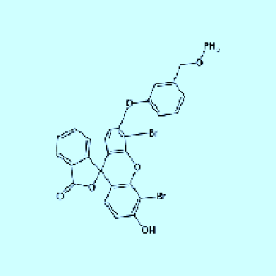 O=C1OC2(c3ccccc31)c1ccc(O)c(Br)c1Oc1c2ccc(Oc2cccc(COP)c2)c1Br